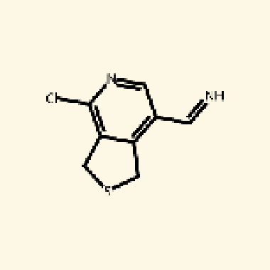 N=Cc1cnc(Cl)c2c1CSC2